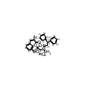 CC(=O)C(=Cc1cccc([N+](=O)[O-])c1)C(=O)OC(C)(C)CN(C)CCC(c1ccccc1)c1ccccc1.Cl